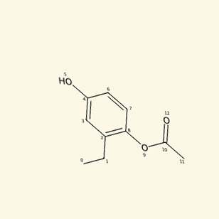 CCc1cc(O)ccc1OC(C)=O